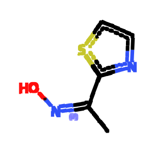 C/C(=N/O)c1nccs1